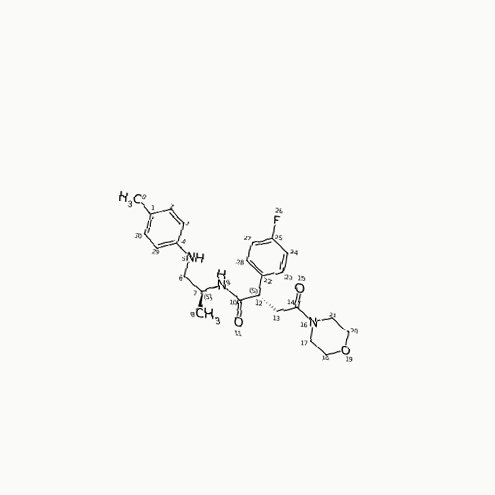 Cc1ccc(NC[C@H](C)NC(=O)[C@@H](CC(=O)N2CCOCC2)c2ccc(F)cc2)cc1